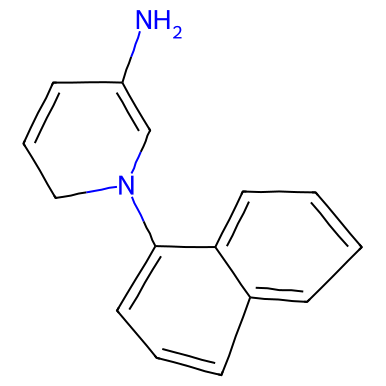 NC1=CN(c2cccc3ccccc23)CC=C1